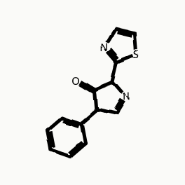 O=C1C(c2ccccc2)C=NC1c1nccs1